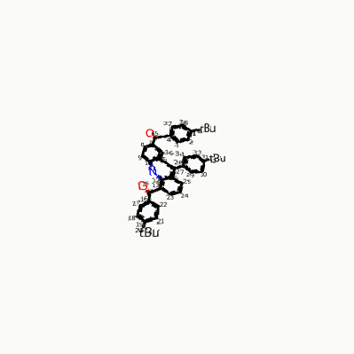 CC(C)(C)c1ccc(C(=O)c2ccc3nc4c(C(=O)c5ccc(C(C)(C)C)cc5)cccc4c(-c4ccc(C(C)(C)C)cc4)c3c2)cc1